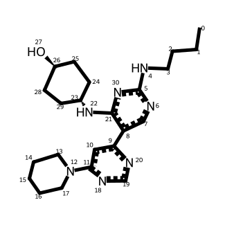 CCCCNc1ncc(-c2cc(N3CCCCC3)ncn2)c(N[C@H]2CC[C@H](O)CC2)n1